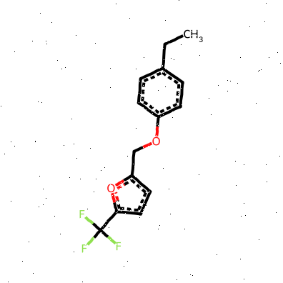 CCc1ccc(OCc2ccc(C(F)(F)F)o2)cc1